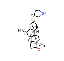 C[C@H]1C[C@@H]2[C@H](CC[C@]3(C)C(=O)CC[C@@H]23)[C@@]2(C)CC[C@@H](S[C@@H]3CCNC3)CC12